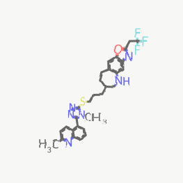 Cc1ccc2c(-c3nnc(SCCCC4CCc5cc6oc(CC(F)(F)F)nc6cc5NC4)n3C)cccc2n1